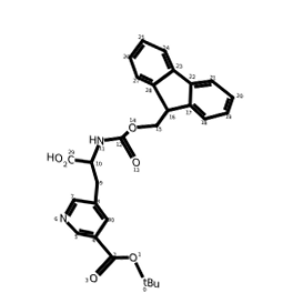 CC(C)(C)OC(=O)c1cncc(CC(NC(=O)OCC2c3ccccc3-c3ccccc32)C(=O)O)c1